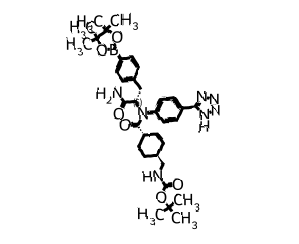 CC(C)(C)OC(=O)NC[C@H]1CC[C@H](C(=O)N(c2ccc(-c3nnn[nH]3)cc2)[C@@H](Cc2ccc(B3OC(C)(C)C(C)(C)O3)cc2)C(N)=O)CC1